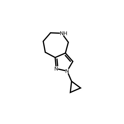 c1c2c(nn1C1CC1)CCCNC2